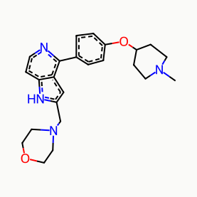 CN1CCC(Oc2ccc(-c3nccc4[nH]c(CN5CCOCC5)cc34)cc2)CC1